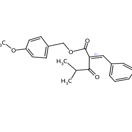 COc1ccc(COC(=O)/C(=C/c2ccccc2)C(=O)C(C)C)cc1